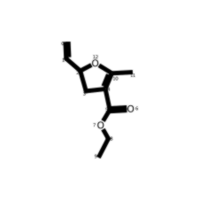 C=CC1CC(C(=O)OCC)=C(C)O1